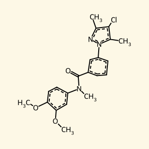 COc1ccc(N(C)C(=O)c2cccc(-n3nc(C)c(Cl)c3C)c2)cc1OC